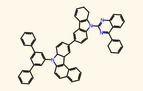 C1=CCCC(c2nc(-n3c4c(c5cc(C6=CC7c8c(ccc9ccccc89)N(c8cc(-c9ccccc9)cc(-c9ccccc9)c8)C7C=C6)ccc53)C=CCC4)nc3ccccc23)=C1